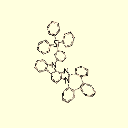 c1ccc([Si](c2ccccc2)(c2ccccc2)c2cccc(-n3c4ccccc4c4ccc5c(nc6n5-c5ccccc5-c5ccccc5-c5ccccc5-6)c43)c2)cc1